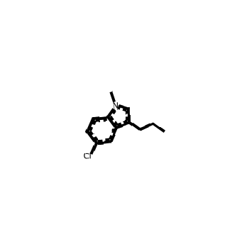 CCCc1cn(C)c2ccc(Cl)cc12